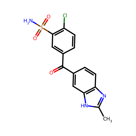 Cc1nc2ccc(C(=O)c3ccc(Cl)c(S(N)(=O)=O)c3)cc2[nH]1